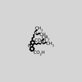 C=CCN(CC=C)CCCc1cc2oc3ccc(C(=O)O)cc3c2c(CCCN(CC=C)CC=C)c1C(=O)O